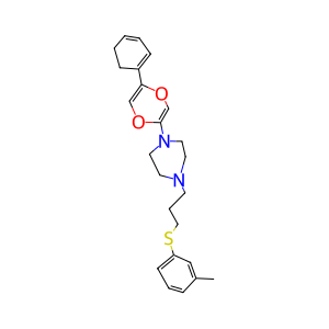 Cc1cccc(SCCCN2CCN(C3=COC(C4=CC=CCC4)=CO3)CC2)c1